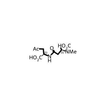 CN[C@@H](CC(=O)N[C@@H](CC(C)=O)C(=O)O)C(=O)O